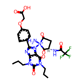 CCCn1c(=O)c2c(nc(-c3ccc(OCC(=O)O)cc3)n2[N+]2(N)C(=O)C[C@H](NC(=O)C(F)(F)F)C2=O)n(CCC)c1=O